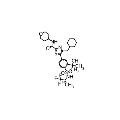 C[C@H](NS(=O)(=O)c1ccc(-c2sc(C(=O)NC3CCOCC3)nc2CC2CCCCC2)cc1C(C)(C)C)C(F)(F)F